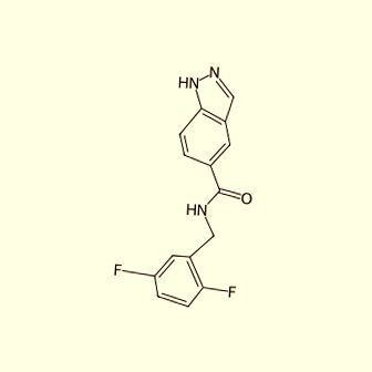 O=C(NCc1cc(F)ccc1F)c1ccc2[nH]ncc2c1